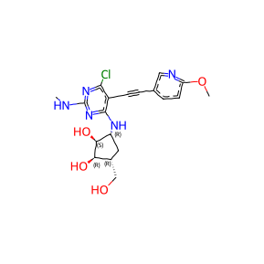 CNc1nc(Cl)c(C#Cc2ccc(OC)nc2)c(N[C@@H]2C[C@H](CO)[C@@H](O)[C@H]2O)n1